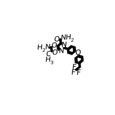 CC(Oc1cc(C(N)=O)nc(-c2ccc(Oc3ccc(CC(F)(F)F)cc3)cc2)n1)C(N)=O